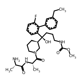 CCc1cccc(-c2c(F)cccc2[C@](O)(CCCNC(=O)OC)[C@@H]2CCCN(C(=O)[C@H](C)NC(=O)[C@H](C)N)C2)c1